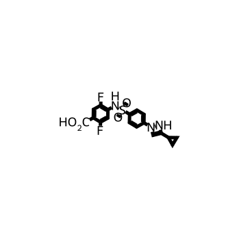 O=C(O)c1cc(F)c(NS(=O)(=O)c2ccc(-n3cc(C4CC4)[nH]3)cc2)cc1F